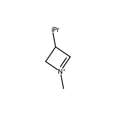 CC(C)C1C=[N+](C)C1